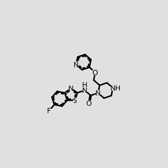 O=C(Nc1nc2ccc(F)cc2s1)N1CCNCC1COc1cccnc1